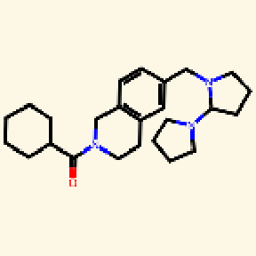 O=C(C1CCCCC1)N1CCc2cc(CN3CCCC3N3CCCC3)ccc2C1